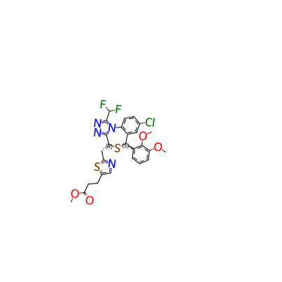 COC(=O)CCc1cnc(C[C@H]2S[C@H](c3cccc(OC)c3OC)c3cc(Cl)ccc3-n3c(C(F)F)nnc32)s1